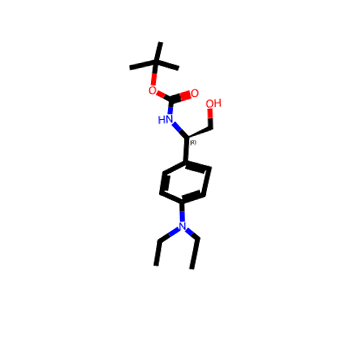 CCN(CC)c1ccc([C@H](CO)NC(=O)OC(C)(C)C)cc1